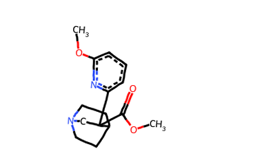 COC(=O)C1(c2cccc(OC)n2)CN2CCC1CC2